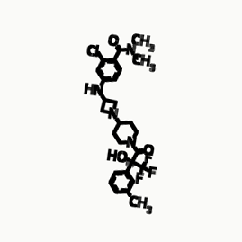 Cc1cccc([C@](O)(C(=O)N2CCC(N3CC(Nc4ccc(C(=O)N(C)C)c(Cl)c4)C3)CC2)C(F)(F)F)c1